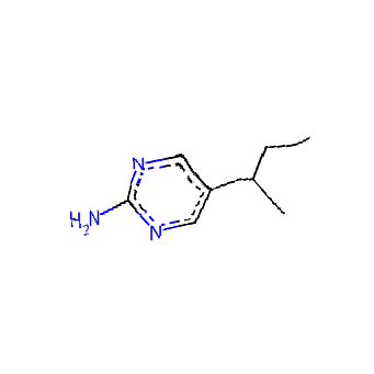 CCC(C)c1cnc(N)nc1